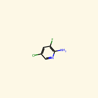 Nc1n[c]c(Cl)cc1F